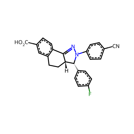 N#Cc1ccc(N2N=C3c4ccc(C(=O)O)cc4CC[C@H]3[C@H]2c2ccc(F)cc2)cc1